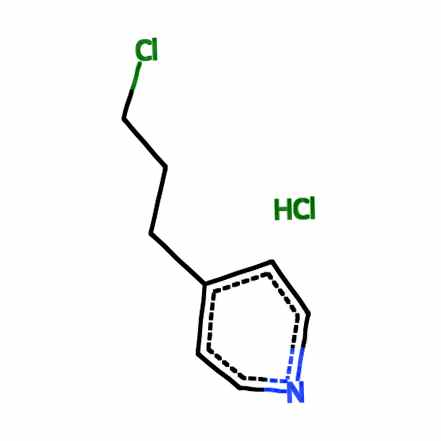 Cl.ClCCCc1ccncc1